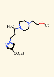 CCOCCN1CCN(C(C)CCn2cc(C(=O)OCC)cn2)CC1